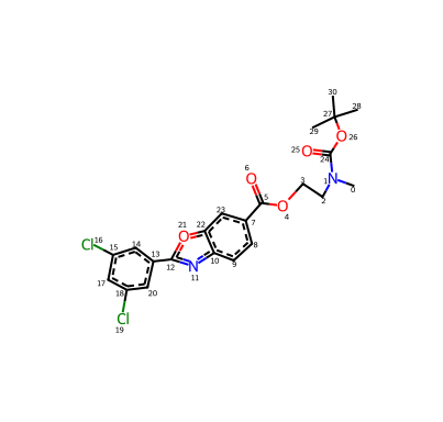 CN(CCOC(=O)c1ccc2nc(-c3cc(Cl)cc(Cl)c3)oc2c1)C(=O)OC(C)(C)C